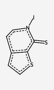 S=c1c2sccc2ccn1I